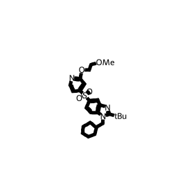 COCCOc1cc(S(=O)(=O)c2ccc3c(c2)nc(C(C)(C)C)n3CC2CCCCC2)ccn1